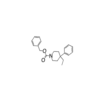 CCC1(c2ccccc2)CCN(C(=O)OCc2ccccc2)CC1